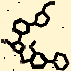 COc1cc(N2CCOCC2)ccc1Nc1nc(N)n(-c2cc(N3CCCC(CO)C3)ncn2)n1